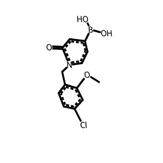 COc1cc(Cl)ccc1Cn1ccc(B(O)O)cc1=O